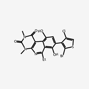 CCc1nc2c(c(=O)n(C)c(=O)n2C)c2c(O)cc(-c3c(Cl)csc3Br)c(O)c12